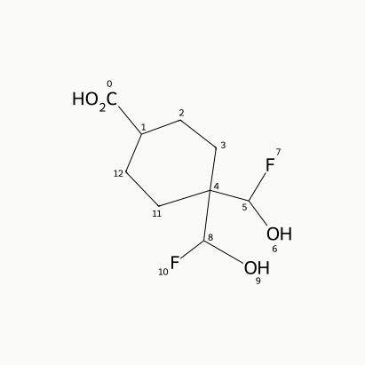 O=C(O)C1CCC(C(O)F)(C(O)F)CC1